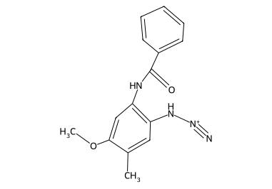 COc1cc(NC(=O)c2ccccc2)c(N[N+]#N)cc1C